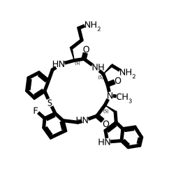 CN1C(=O)[C@H](CN)NC(=O)[C@H](CCCN)NCc2ccccc2Sc2c(F)cccc2CNC(=O)[C@@H]1Cc1c[nH]c2ccccc12